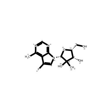 Cc1ncnc2c1c(F)cn2[C@@H]1O[C@H](CO)[C@H](O)C1(C)O